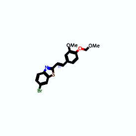 COCOc1ccc(/C=C/c2nc3ccc(Br)cc3s2)cc1OC